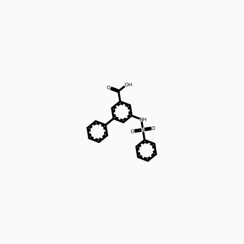 O=C(O)c1cc(NS(=O)(=O)c2ccccc2)cc(-c2ccccc2)c1